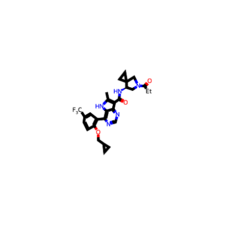 CCC(=O)N1C[C@@H](NC(=O)c2c(C)[nH]c3c(-c4cc(C(F)(F)F)ccc4OCC4CC4)ncnc23)C2(CC2)C1